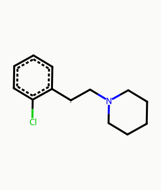 Clc1ccccc1[CH]CN1CCCCC1